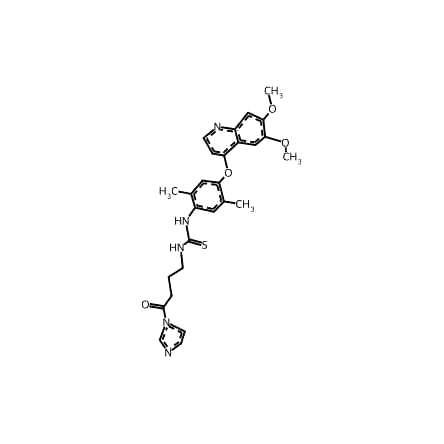 COc1cc2nccc(Oc3cc(C)c(NC(=S)NCCCC(=O)n4ccnc4)cc3C)c2cc1OC